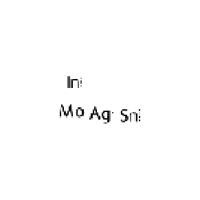 [Ag].[In].[Mo].[Sn]